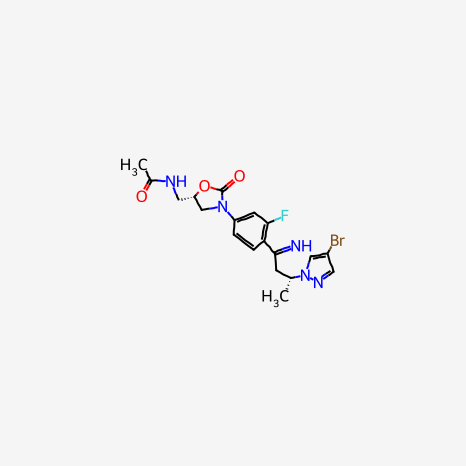 CC(=O)NC[C@H]1CN(c2ccc(C(=N)C[C@@H](C)n3cc(Br)cn3)c(F)c2)C(=O)O1